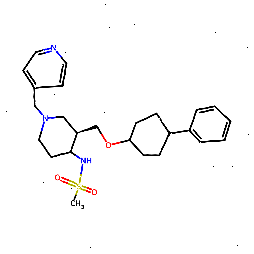 CS(=O)(=O)NC1CCN(Cc2ccncc2)C[C@H]1COC1CCC(c2ccccc2)CC1